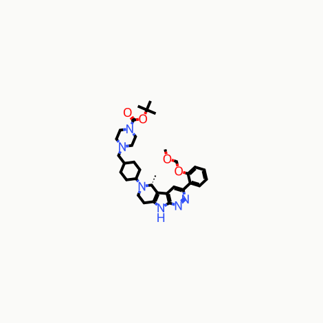 COCOc1ccccc1-c1cc2c3c([nH]c2nn1)CCN(C1CCC(CN2CCN(C(=O)OC(C)(C)C)CC2)CC1)[C@@H]3C